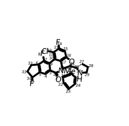 CNC(=O)c1cc2c(c(F)c1-c1c(Cl)c(F)cc3c1C[C@](c1ccccc1)([C@@H]1CCCN1)O3)CCC2F